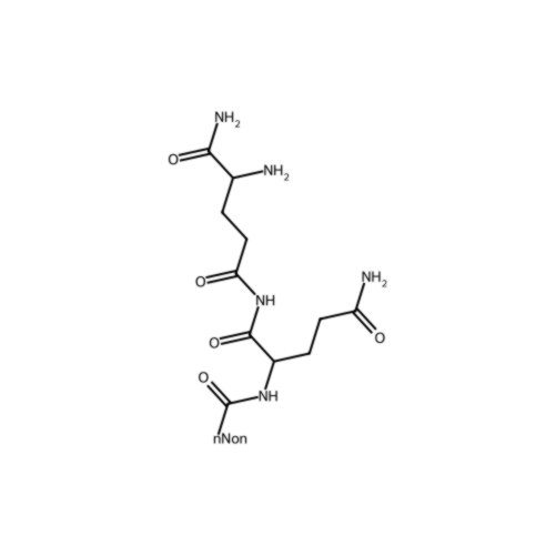 CCCCCCCCCC(=O)NC(CCC(N)=O)C(=O)NC(=O)CCC(N)C(N)=O